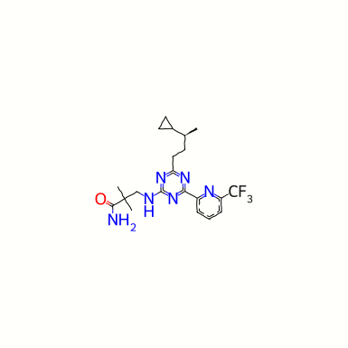 C[C@@H](CCc1nc(NCC(C)(C)C(N)=O)nc(-c2cccc(C(F)(F)F)n2)n1)C1CC1